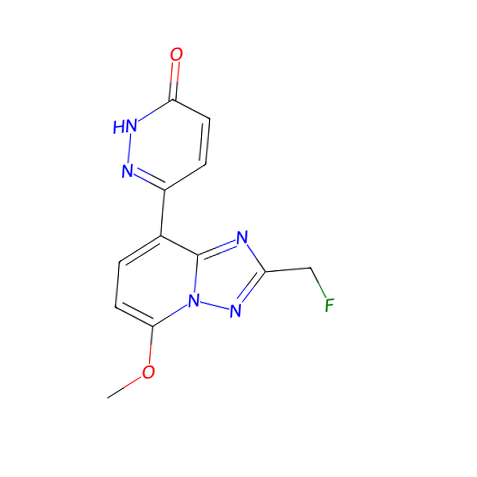 COc1ccc(-c2ccc(=O)[nH]n2)c2nc(CF)nn12